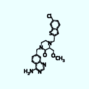 COCC1C(=O)N(Cc2ccc3c(N)ncnc3c2)CCN1Cc1cc2ccc(Cl)cc2s1